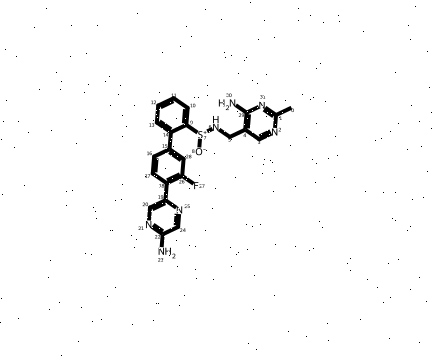 Cc1ncc(CN[S+]([O-])c2ccccc2-c2ccc(-c3cnc(N)cn3)c(F)c2)c(N)n1